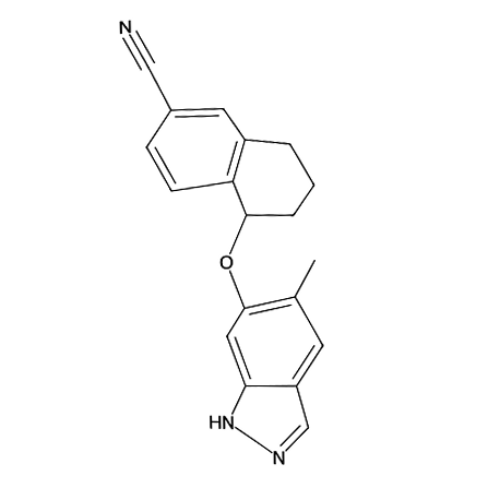 Cc1cc2cn[nH]c2cc1OC1CCCc2cc(C#N)ccc21